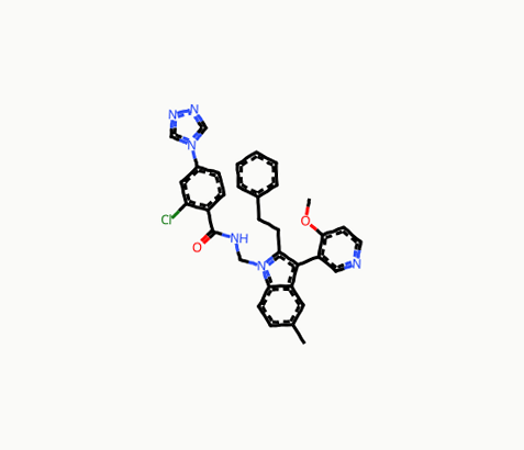 COc1ccncc1-c1c(CCc2ccccc2)n(CNC(=O)c2ccc(-n3cnnc3)cc2Cl)c2ccc(C)cc12